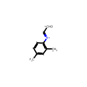 Cc1cc(C(F)(F)F)ccc1N=CC=O